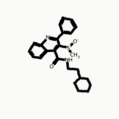 C[S+]([O-])c1c(-c2ccccc2)nc2ccccc2c1C(=O)NCCC1CCCCC1